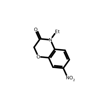 CCN1C(=O)COc2cc([N+](=O)[O-])ccc21